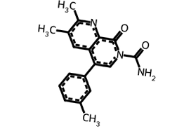 Cc1cccc(-c2cn(C(N)=O)c(=O)c3nc(C)c(C)cc23)c1